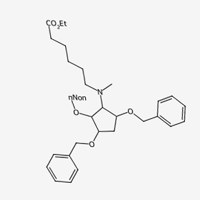 CCCCCCCCCOC1C(OCc2ccccc2)CC(OCc2ccccc2)C1N(C)CCCCCC(=O)OCC